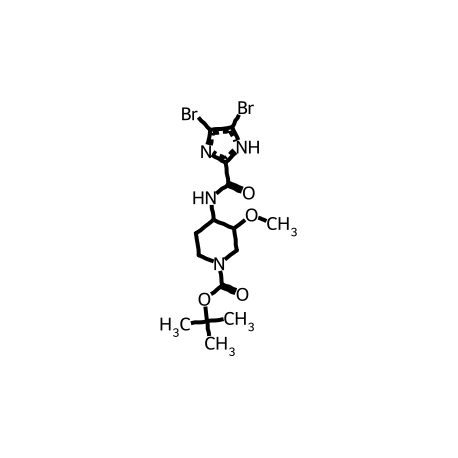 COC1CN(C(=O)OC(C)(C)C)CCC1NC(=O)c1nc(Br)c(Br)[nH]1